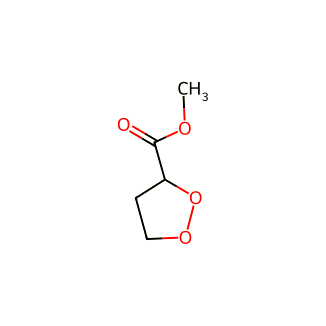 COC(=O)C1CCOO1